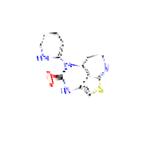 Cc1sc2nccc3c2c1NC(=O)N3C1=CC=CCN1